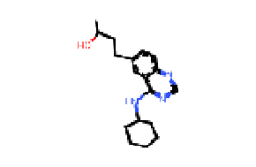 CC(O)CCc1ccc2ncnc(NC3CCCCC3)c2c1